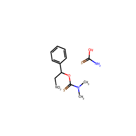 CN(C)C(=S)OC(C[N+](=O)[O-])c1ccccc1.NC(O)=S